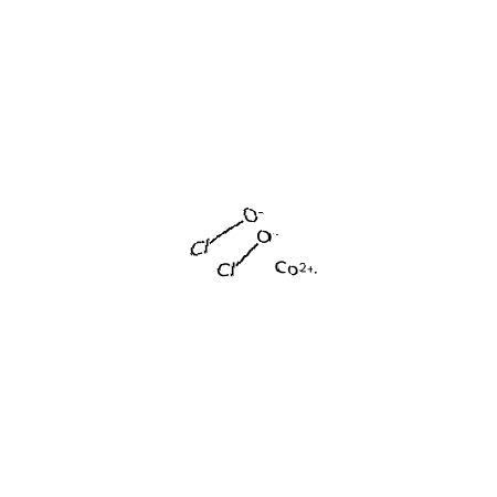 [Co+2].[O-]Cl.[O-]Cl